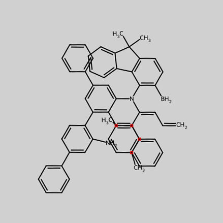 Bc1ccc2c(c1N(C(=C/C=C)/C(=C\C)c1ccccc1)c1cc(-c3ccccc3)cc(-c3ccc(-c4ccccc4)cc3N)c1-c1ccc(C)cc1)-c1ccccc1C2(C)C